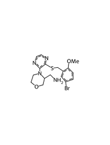 COc1ccc(Br)cc1CSc1nccnc1N1CCOCC1CN